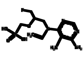 C=CN(CC(CF)OCP(=O)(O)O)c1ncnc(N)c1N